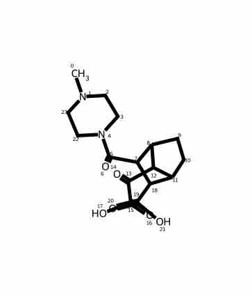 CN1CCN(C(=O)C2C3CCC(C3C(=O)C(=O)O)C2C(=O)O)CC1